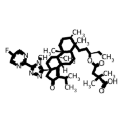 CC[C@H](CC[C@]1(C)C2CC[C@@H]3C4=C(C(C)C)C(=O)C[C@]4(c4nnc(-c5ncc(F)cn5)n4C)CC[C@@]3(C)[C@]2(C)CC[C@H]1C)OC(=O)CC(C)(C)C(=O)O